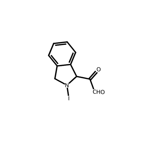 O=CC(=O)C1c2ccccc2CN1I